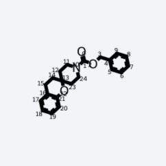 O=C(OCc1ccccc1)N1CCC2(CCc3ccccc3O2)CC1